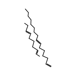 C=CCCCCC=CCCCCCCCC.CC=CCCCC=CCC